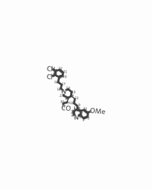 COc1ccc2nccc(CCC[C@@H]3CCN(CCCc4cccc(Cl)c4Cl)C[C@@H]3CCC(=O)O)c2c1